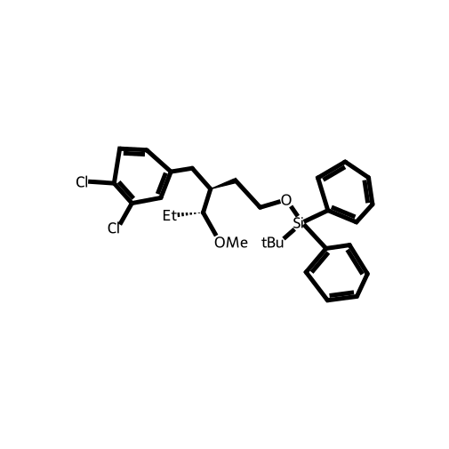 CC[C@@H](OC)[C@H](CCO[Si](c1ccccc1)(c1ccccc1)C(C)(C)C)Cc1ccc(Cl)c(Cl)c1